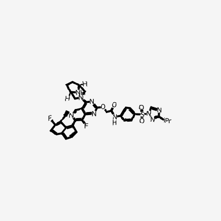 C#Cc1c(F)ccc2cccc(-c3ncc4c(N5C[C@H]6CC[C@@H](C5)N6)nc(OCC(=O)Nc5ccc(S(=O)(=O)n6cnc(C(C)C)n6)cc5)nc4c3F)c12